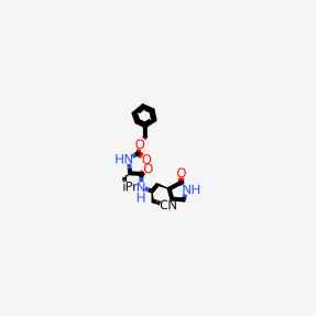 CC(C)C[C@H](NC(=O)OCc1ccccc1)C(=O)N[C@H](CC#N)C[C@@H]1CCNC1=O